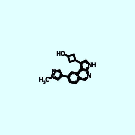 Cn1cc(-c2ccc3cnc4[nH]cc(C5CC(O)C5)c4c3c2)cn1